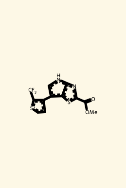 COC(=O)c1nc2[nH]cc(-c3ccsc3C(F)(F)F)c2s1